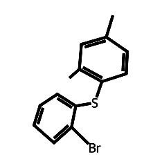 Cc1ccc(Sc2ccccc2Br)c(C)c1